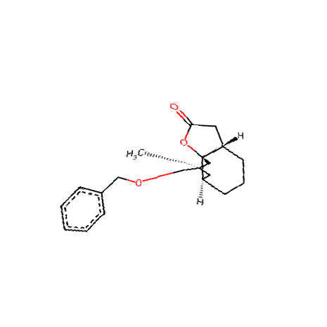 C[C@@]1(OCc2ccccc2)C[C@H]2CCC[C@H]3CC(=O)O[C@@]23C1